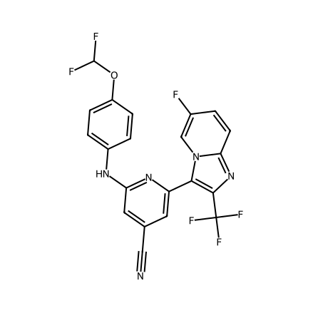 N#Cc1cc(Nc2ccc(OC(F)F)cc2)nc(-c2c(C(F)(F)F)nc3ccc(F)cn23)c1